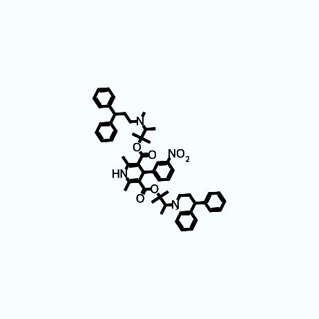 CC1=C(C(=O)OC(C)(C)C(C)N(C)CCC(c2ccccc2)c2ccccc2)C(c2cccc([N+](=O)[O-])c2)C(C(=O)OC(C)(C)C(C)N(C)CCC(c2ccccc2)c2ccccc2)=C(C)N1